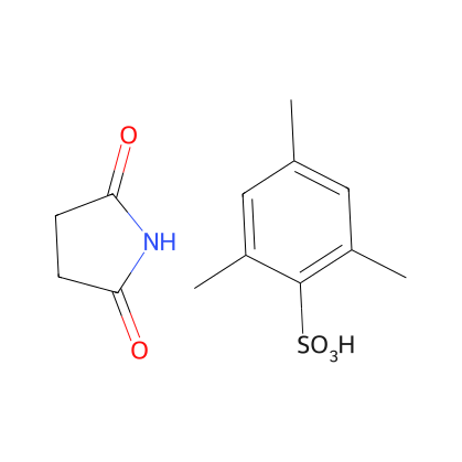 Cc1cc(C)c(S(=O)(=O)O)c(C)c1.O=C1CCC(=O)N1